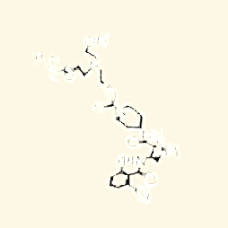 COCCN(CCO)CCOC(=O)N1CCC(NC(=O)c2n[nH]cc2NC(=O)c2c(Cl)cccc2Cl)CC1